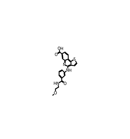 COCCNC(=O)c1cccc(Nc2nc3cc(C(=O)O)ccc3c3sccc23)c1